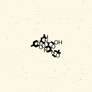 Cc1ccn(C(CC(C)C)C(=O)N[C@@H](CC(=O)O)c2cncc(N3CCOC(C)(C)C3)c2)c(=O)c1